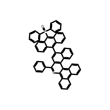 O=P(c1ccccc1)(c1ccccc1)c1c2ccccc2c(-c2cc3c(-c4ccccc4)nc4c5ccccc5c5ccccc5c4c3c3ccccc23)c2ccccc12